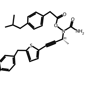 CC(C)Cc1ccc(CC(=O)ON(C(N)=O)[C@H](C)C#Cc2ccc(Cc3ccc(F)cc3)s2)cc1